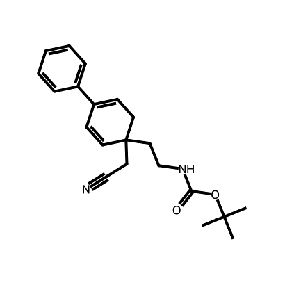 CC(C)(C)OC(=O)NCCC1(CC#N)C=CC(c2ccccc2)=CC1